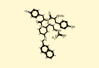 CC(=O)NC(Cc1ccc(O)cc1)C(=O)NC(Cc1ccc(F)cc1)C(=O)N1CCC(OCc2ccc3ccccc3c2)CC1CCCNC(=N)N